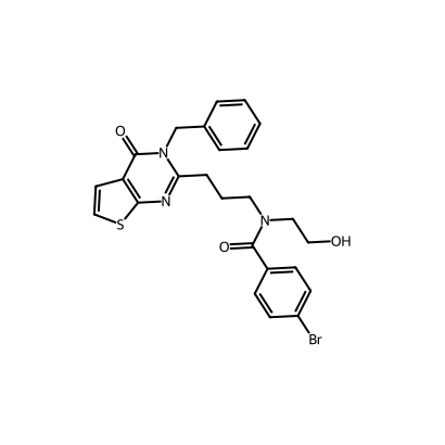 O=C(c1ccc(Br)cc1)N(CCO)CCCc1nc2sccc2c(=O)n1Cc1ccccc1